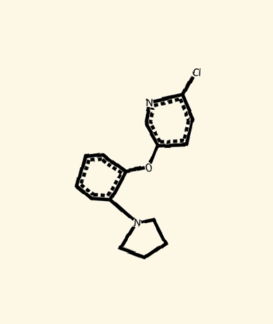 Clc1ccc(Oc2ccccc2N2CCCC2)cn1